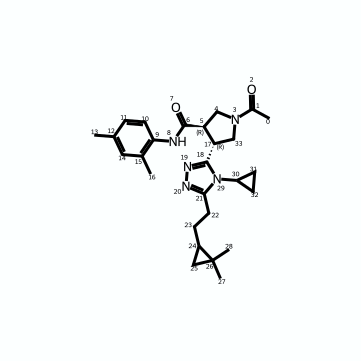 CC(=O)N1C[C@H](C(=O)Nc2ccc(C)cc2C)[C@@H](c2nnc(CCC3CC3(C)C)n2C2CC2)C1